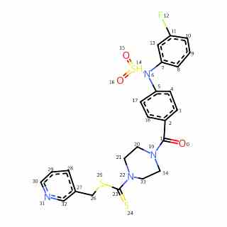 O=C(c1ccc(N(c2cccc(F)c2)[SH](=O)=O)cc1)N1CCN(C(=S)SCc2cccnc2)CC1